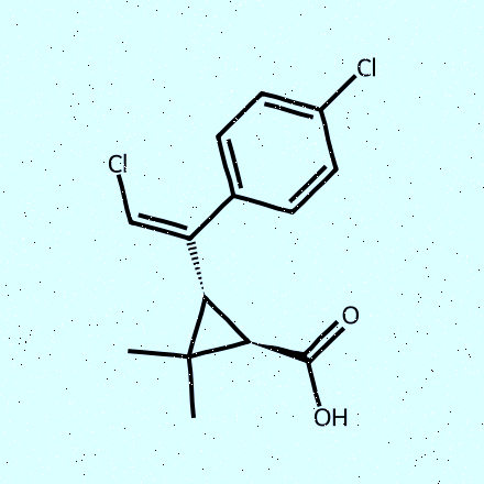 CC1(C)[C@H](C(=O)O)[C@H]1/C(=C/Cl)c1ccc(Cl)cc1